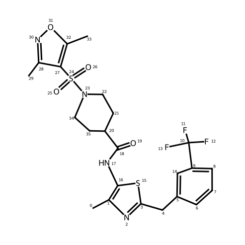 Cc1nc(Cc2cccc(C(F)(F)F)c2)sc1NC(=O)C1CCN(S(=O)(=O)c2c(C)noc2C)CC1